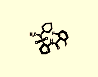 CN(C1CCCCC1)S(=O)(=O)c1ccccc1NC(=O)c1c(F)cccc1F